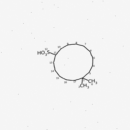 CC1(C)CCCCCCCCC(S(=O)(=O)O)CCCCC1